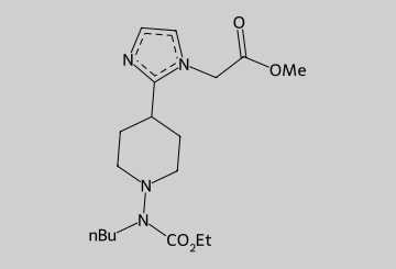 CCCCN(C(=O)OCC)N1CCC(c2nccn2CC(=O)OC)CC1